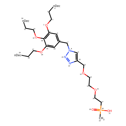 CCCCCCCCCCCCOc1cc(Cn2cc(COCCOCCP(C)(=O)O)nn2)cc(OCCCCCCCCCCCC)c1OCCCCCCCCCCCC